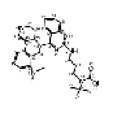 COc1cccc(N(C)C)c1CN(c1nc(NCCCN(C(=O)O)C(C)(C)C)nc2ccccc12)C1CCNCC1